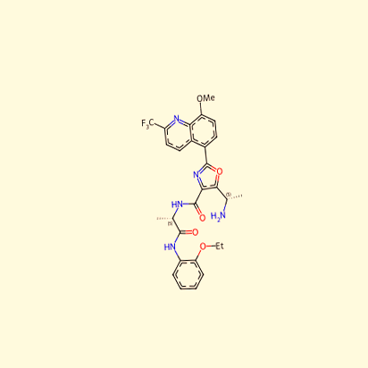 CCOc1ccccc1NC(=O)[C@H](C)NC(=O)c1nc(-c2ccc(OC)c3nc(C(F)(F)F)ccc23)oc1[C@H](C)N